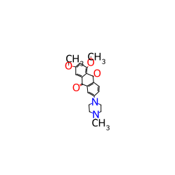 COc1cc(OC)c2c(c1)C(=O)c1cc(N3CCN(C)CC3)ccc1C2=O